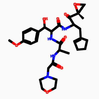 COc1ccc(C(O)C(NC(=O)C(C)NC(=O)CN2CCOCC2)C(=O)NC(CC2=CCCC2)C(=O)[C@@]2(C)CO2)cc1